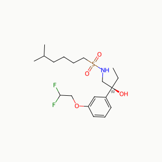 CC[C@@](O)(CNS(=O)(=O)CCCCC(C)C)c1cccc(OCC(F)F)c1